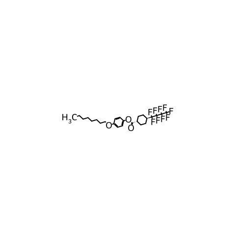 CCCCCCCCOc1ccc(OC(=O)[C@H]2CC[C@H](C(F)(F)C(F)(F)C(F)(F)C(F)(F)F)CC2)cc1